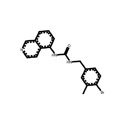 Cc1cc(CNC(=O)Nc2cccc3cnccc23)ccc1Br